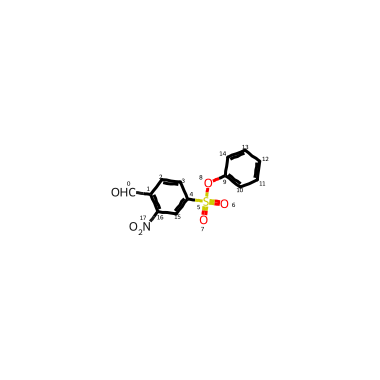 O=Cc1ccc(S(=O)(=O)Oc2ccccc2)cc1[N+](=O)[O-]